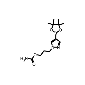 CC1(C)OB(c2cnn(CCCOC(N)=O)c2)OC1(C)C